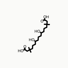 CC(C)(CCCC(O)CCCC(O)CCCC(C)(C)CC(=O)O)CC(=O)O